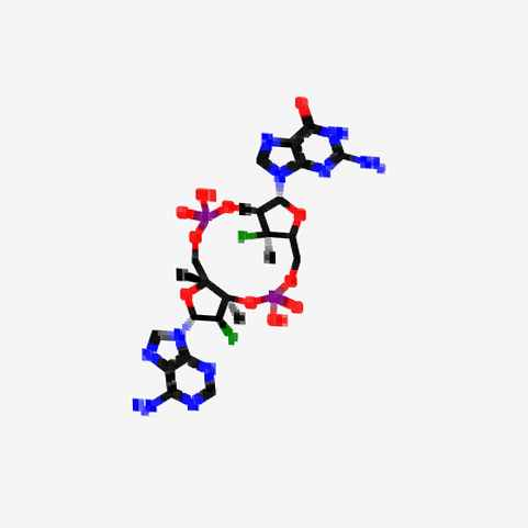 Nc1nc2c(ncn2[C@@H]2OC3COP(=O)(O)O[C@H]4[C@@H](F)[C@H](n5cnc6c(N)ncnc65)O[C@@H]4COP(=O)(O)O[C@@H]2[C@@H]3F)c(=O)[nH]1